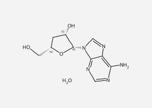 Nc1ncnc2c1ncn2[C@@H]1O[C@H](CO)C[C@@H]1O.O